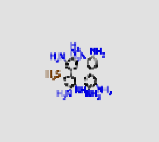 Nc1ccc(-c2ccc(N)c(N)c2)cc1N.Nc1ccc(-c2ccc(N)c(N)c2)cc1N.S